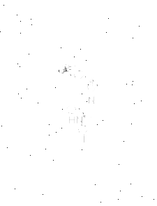 CS(=O)(=O)Nc1ccc(Oc2ccc(CN3CCC(N(C(=O)Nc4ccc(F)cc4)c4ccccc4)CC3)cn2)cc1